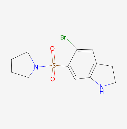 O=S(=O)(c1cc2c(cc1Br)CCN2)N1CCCC1